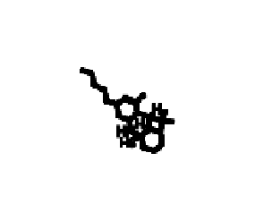 CCCCCC1C=C(C)C2C(C1)N[C@]1(S)CCCC3[C@@H]1[C@@H]2C3(C)C